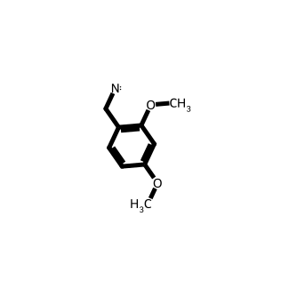 COc1ccc(C[N])c(OC)c1